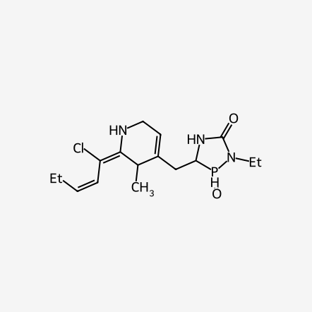 CC/C=C\C(Cl)=C1\NCC=C(CC2NC(=O)N(CC)[PH]2=O)C1C